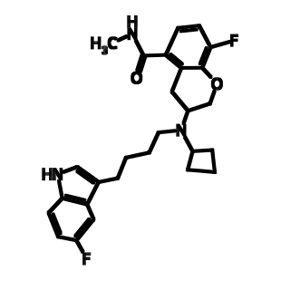 CNC(=O)c1ccc(F)c2c1CC(N(CCCCc1c[nH]c3ccc(F)cc13)C1CCC1)CO2